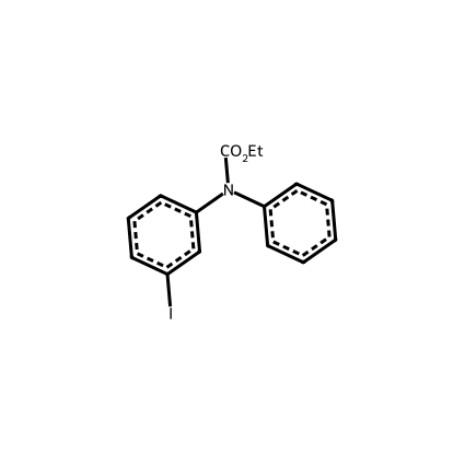 CCOC(=O)N(c1ccccc1)c1cccc(I)c1